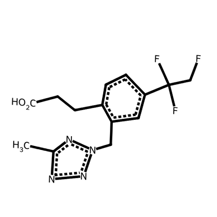 Cc1nnn(Cc2cc(C(F)(F)CF)ccc2CCC(=O)O)n1